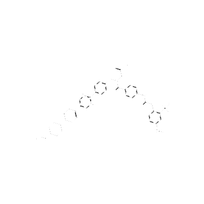 CC[C@H]1CC[C@H](C2CC=C(c3cnc(-c4ccc(CN(CC(=O)O)C(=O)c5ccc(NC(=O)Cc6ccc(N(C)C)cc6C(F)(F)F)cc5)cc4)nc3)CC2)CC1